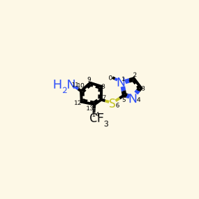 Cn1ccnc1Sc1ccc(N)cc1C(F)(F)F